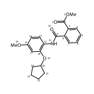 COC(=O)c1ccccc1C(=O)Nc1ccc(OC)cc1OC1CCCC1